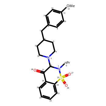 CCCN1C(N2CCC(Cc3ccc(OC)cc3)CC2)C(=O)c2ccccc2S1(=O)=O